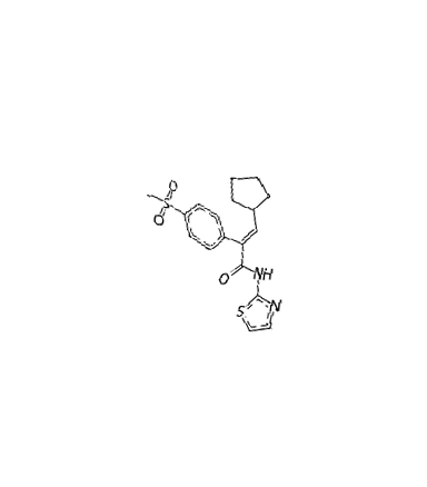 CS(=O)(=O)c1ccc(/C(=C\C2CCCC2)C(=O)Nc2nccs2)cc1